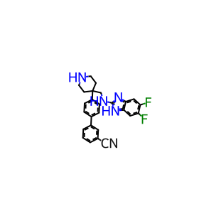 N#Cc1cccc(-c2ccc(C3(CNc4nc5cc(F)c(F)cc5[nH]4)CCNCC3)cc2)c1